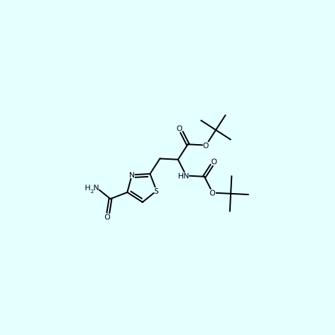 CC(C)(C)OC(=O)NC(Cc1nc(C(N)=O)cs1)C(=O)OC(C)(C)C